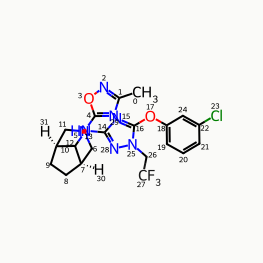 Cc1noc(N2C[C@H]3CC[C@@H](C2)C3Nc2nc(Oc3cccc(Cl)c3)n(CC(F)(F)F)n2)n1